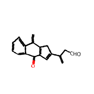 C=C(CC=O)C1=CC2=C(C1)C(=C)c1ccccc1C2=O